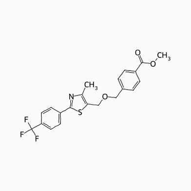 COC(=O)c1ccc(COCc2sc(-c3ccc(C(F)(F)F)cc3)nc2C)cc1